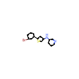 Brc1cccc(-c2cc(Nc3cccnc3)cs2)c1